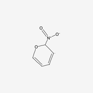 O=[N+]([O-])C1[C]=CC=CO1